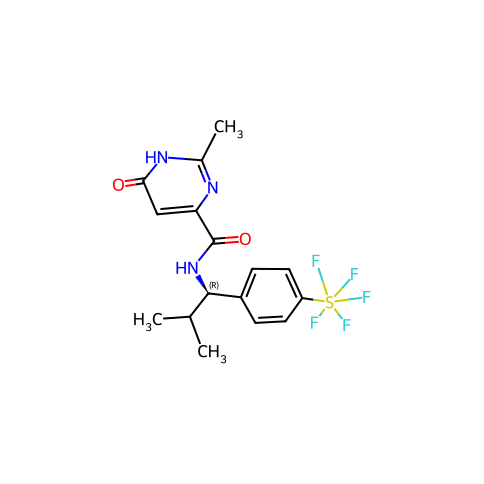 Cc1nc(C(=O)N[C@@H](c2ccc(S(F)(F)(F)(F)F)cc2)C(C)C)cc(=O)[nH]1